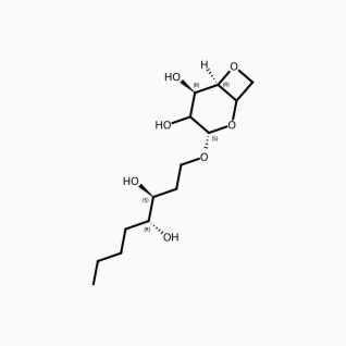 CCCC[C@@H](O)[C@@H](O)CCO[C@H]1OC2CO[C@@H]2[C@H](O)C1O